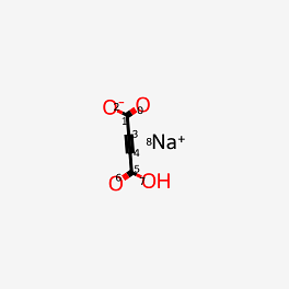 O=C([O-])C#CC(=O)O.[Na+]